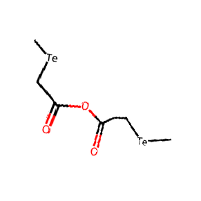 C[Te]CC(=O)OC(=O)C[Te]C